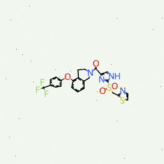 O=C(c1c[nH]c(S(=O)(=O)Cc2nccs2)n1)N1CCc2c(cccc2Oc2ccc(C(F)(F)F)cc2)C1